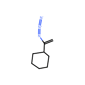 C=C(N=[N+]=[N-])C1CCCCC1